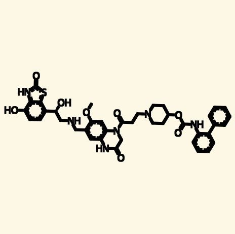 COc1cc2c(cc1CNC[C@H](O)c1ccc(O)c3[nH]c(=O)sc13)NC(=O)CN2C(=O)CCN1CCC(OC(=O)Nc2ccccc2-c2ccccc2)CC1